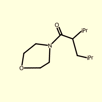 CC(C)CC(C(=O)N1CCOCC1)C(C)C